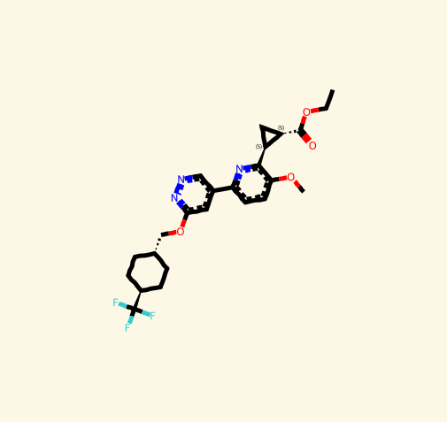 CCOC(=O)[C@H]1C[C@@H]1c1nc(-c2cnnc(OC[C@H]3CC[C@H](C(F)(F)F)CC3)c2)ccc1OC